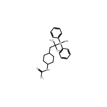 CC(C)(CC1CCC(NC(=O)C(F)(F)F)CC1)[Si](O)(c1ccccc1)c1ccccc1